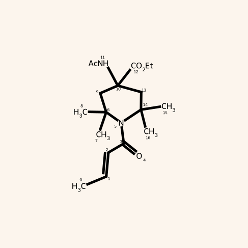 C/C=C/C(=O)N1C(C)(C)CC(NC(C)=O)(C(=O)OCC)CC1(C)C